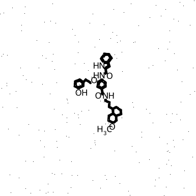 COC1CCC2C(CCCNC(=O)c3ccc(NC(=O)c4cc5ccccc5[nH]4)c(OCCc4cccc(O)c4)c3)CCCC2C1